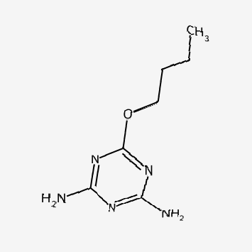 CCCCOc1nc(N)nc(N)n1